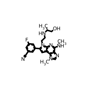 CNc1nc2c(cc(-c3cc(F)cc(C#N)c3)n2CCN[C@@H](C)CO)c2c1ncn2C